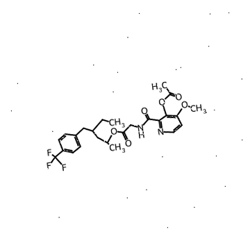 CCC(Cc1ccc(C(F)(F)F)cc1)CC(C)OC(=O)CNC(=O)c1nccc(OC)c1OC(C)=O